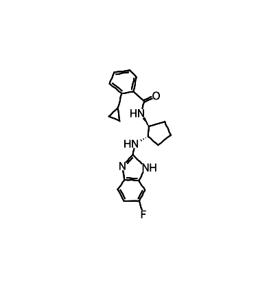 O=C(N[C@H]1CCC[C@@H]1Nc1nc2ccc(F)cc2[nH]1)c1ccccc1C1CC1